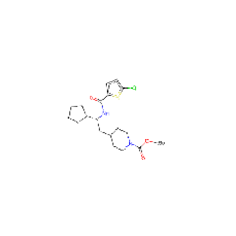 CC(C)(C)OC(=O)N1CCC(CC(NC(=O)c2ccc(Cl)s2)C2CCCC2)CC1